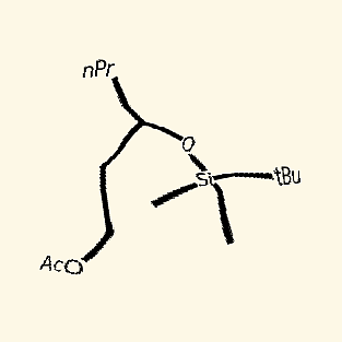 CCCC(CCOC(C)=O)O[Si](C)(C)C(C)(C)C